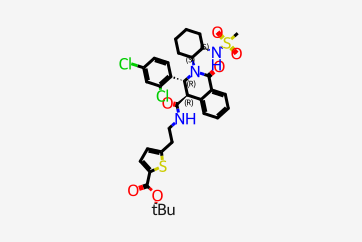 CC(C)(C)OC(=O)c1ccc(CCNC(=O)[C@@H]2c3ccccc3C(=O)N([C@H]3CCCC[C@@H]3NS(C)(=O)=O)[C@H]2c2ccc(Cl)cc2Cl)s1